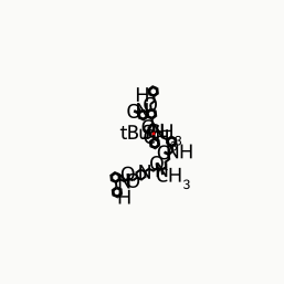 CN(CCCC(=O)Nc1cccc(CCN(Cc2ccccc2)C[C@H](O[Si](C)(C)C(C)(C)C)c2ccc(OCc3ccccc3)c3[nH]c(=O)ccc23)c1)C(=O)CCN1CCC(OC(=O)Nc2ccccc2-c2ccccc2)CC1